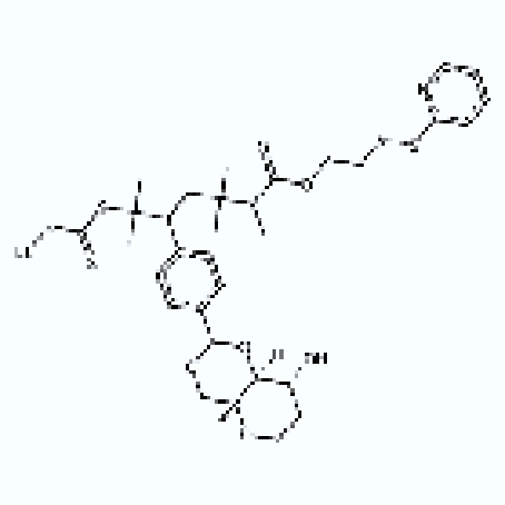 CCSC(=S)SC(C)(C)C(CC(C)(C)C(C)C(=O)OCCSSc1ccccn1)c1ccc(C2OC[C@H]3OCC[C@@H](O)[C@@H]3O2)cc1